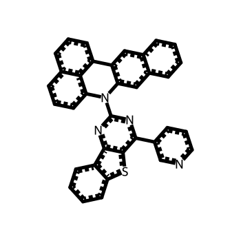 c1cncc(-c2nc(N3c4cc5ccccc5cc4-c4cccc5cccc3c45)nc3c2sc2ccccc23)c1